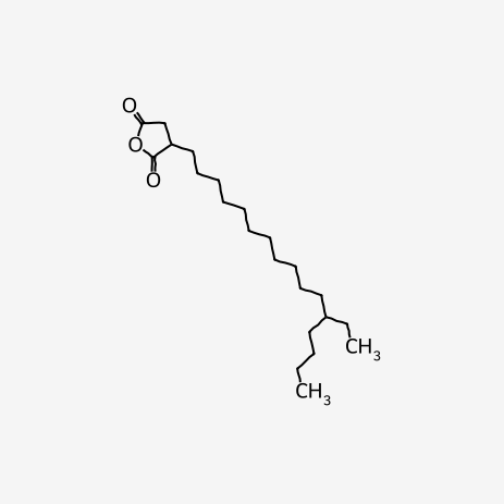 CCCCC(CC)CCCCCCCCCCCC1CC(=O)OC1=O